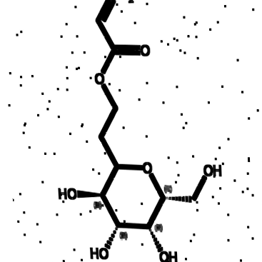 C=CC(=O)OCCC1O[C@H](CO)[C@H](O)[C@H](O)[C@H]1O